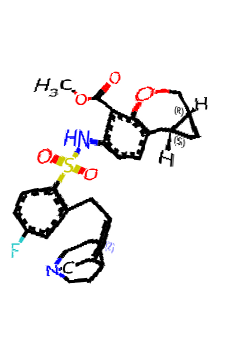 COC(=O)c1c(NS(=O)(=O)c2ccc(F)cc2C/C=C2\CN3CCC2CC3)ccc2c1OC[C@@H]1C[C@H]21